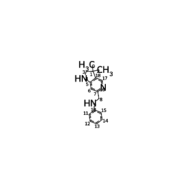 CC1(C)CNc2cc(CNc3ccccc3)ncc21